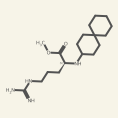 COC(=O)[C@H](CCCNC(=N)N)NC1CCC2(CCCCC2)CC1